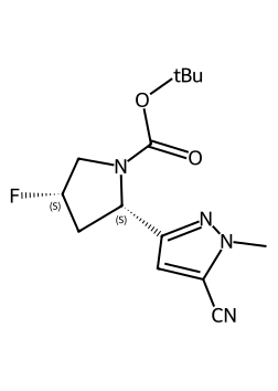 Cn1nc([C@@H]2C[C@H](F)CN2C(=O)OC(C)(C)C)cc1C#N